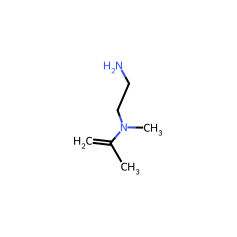 C=C(C)N(C)CCN